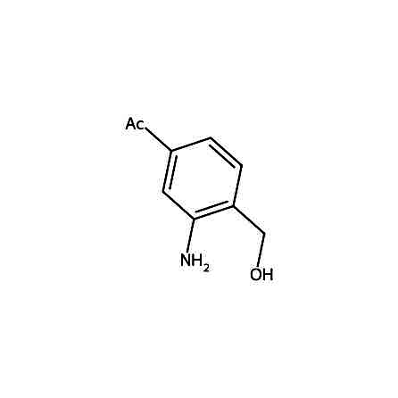 CC(=O)c1ccc(CO)c(N)c1